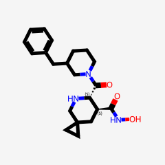 O=C(NO)[C@H]1CC2(CC2)CN[C@@H]1C(=O)N1CCCC(Cc2ccccc2)C1